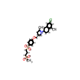 C[C@@H]1C[C@H](COc2ccc(S(=O)(=O)CCCS(C)(=O)=O)cc2)CN1[C@@H]1CCc2c(C#N)cc(Cl)cc2C1